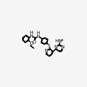 CCOc1ccccc1NC(=O)Nc1ccc(Sc2ncccc2-c2ccnc(NC)n2)cc1